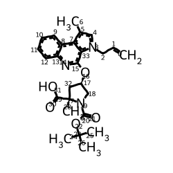 C=CCn1cc(C)c2c3ccccc3nc(O[C@H]3CN(C(=O)OC(C)(C)C)[C@](C)(C(=O)O)C3)c21